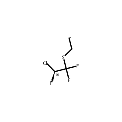 [CH2]CSC(F)(F)[C@@H](F)Cl